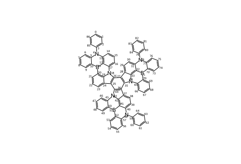 c1ccc(N2c3ccccc3B3c4c2cccc4-n2c4c3cccc4c3c2c2c4ccc5c6c4n(c2c2c4ccc7c8c4n(c32)-c2ccccc2B8c2ccccc2N7c2ccccc2)-c2ccccc2B6c2ccccc2N5c2ccccc2)cc1